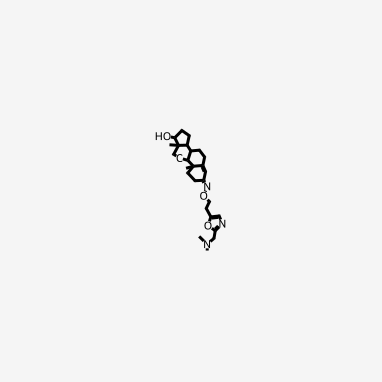 CN(C)Cc1ncc(CCON=C2C=C3CCC4C(CCC5(C)C(O)CCC45)C3(C)CC2)o1